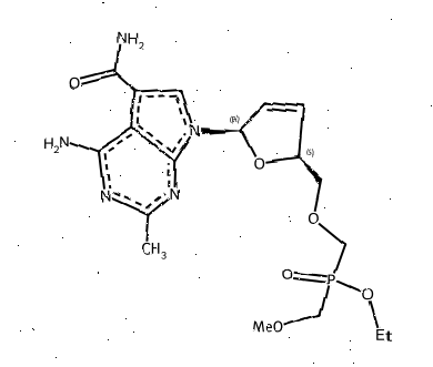 CCOP(=O)(COC)COC[C@@H]1C=C[C@H](n2cc(C(N)=O)c3c(N)nc(C)nc32)O1